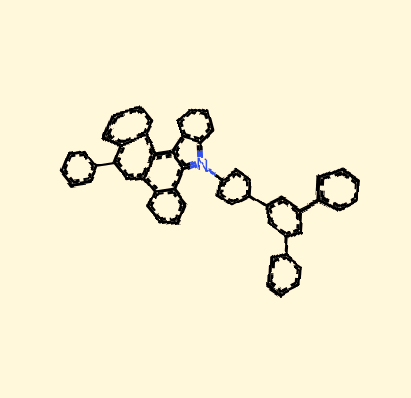 c1ccc(-c2cc(-c3ccccc3)cc(-c3ccc(-n4c5ccccc5c5c6c7ccccc7c(-c7ccccc7)cc6c6ccccc6c54)cc3)c2)cc1